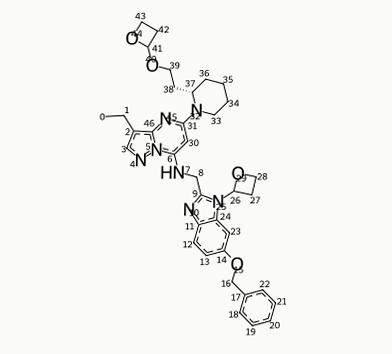 CCc1cnn2c(NCc3nc4ccc(OCc5ccccc5)cc4n3C3CCO3)cc(N3CCCC[C@H]3CCOC3CCO3)nc12